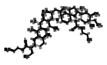 C=CCOC(=O)[C@H](CC)[C@H]1CC[C@H](C)[C@H]([C@@H](C)[C@H](O)[C@H](C)C(=O)[C@H](CC)[C@H]2O[C@]3(C=C[C@@H](OC(=O)NCCO)[C@]4(CC[C@@](C)([C@H]5CC[C@](O)(CC)[C@H](C)O5)O4)O3)[C@H](C)C[C@@H]2C)O1